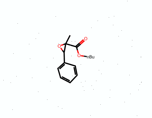 CCCCOC(=O)C1(C)OC1c1ccccc1